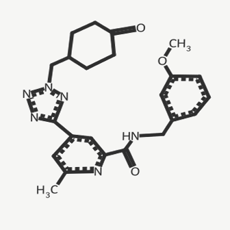 COc1cccc(CNC(=O)c2cc(-c3nnn(CC4CCC(=O)CC4)n3)cc(C)n2)c1